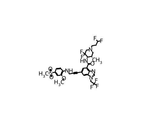 COc1cc(S(C)(=O)=O)ccc1NCC#Cc1cc(C(=O)N[C@@H]2[C@@H](C)CN(CCC(F)F)CC2(F)F)c2ncn(CC(F)(F)F)c2c1